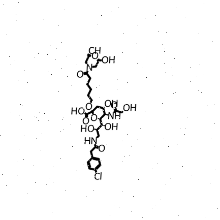 C#CCN(CC(=O)O)C(=O)CCCCCO[C@]1(C(=O)O)C[C@H](O)[C@@H](NC(=O)CO)[C@H]([C@H](O)[C@H](O)CNC(=O)Cc2ccc(Cl)cc2)O1